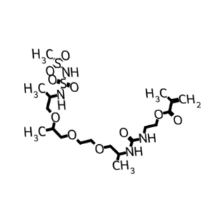 C=C(C)C(=O)OCCNC(=O)NC(C)COCCOCC(C)OCC(C)NS(=O)(=O)NS(C)(=O)=O